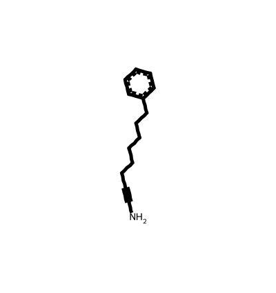 NC#CCCCCCCc1ccccc1